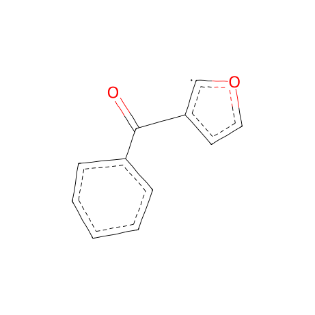 O=C(c1[c]occ1)c1ccccc1